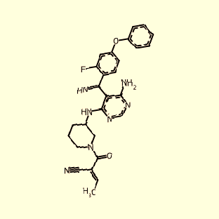 C/C=C(\C#N)C(=O)N1CCCC(Nc2ncnc(N)c2C(=N)c2ccc(Oc3ccccc3)cc2F)C1